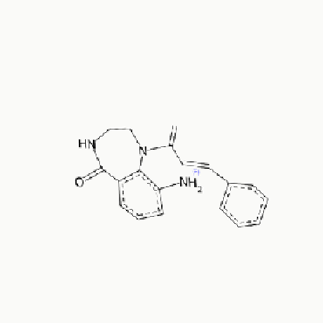 C=C(/C=C/c1ccccc1)N1CCNC(=O)c2cccc(N)c21